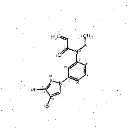 C=CC(=O)N(CC)c1cccc(-n2cc(Br)c(F)n2)c1